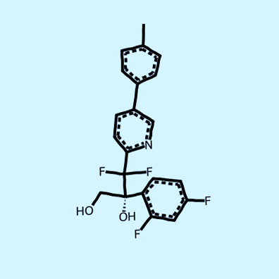 Cc1ccc(-c2ccc(C(F)(F)[C@](O)(CO)c3ccc(F)cc3F)nc2)cc1